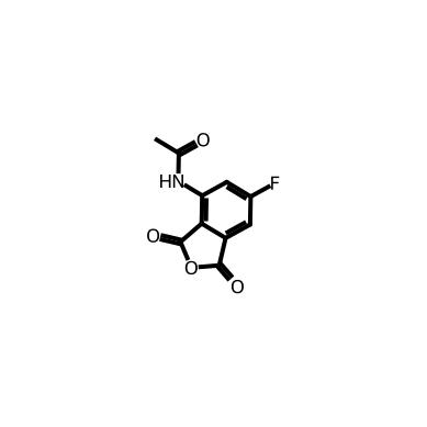 CC(=O)Nc1cc(F)cc2c1C(=O)OC2=O